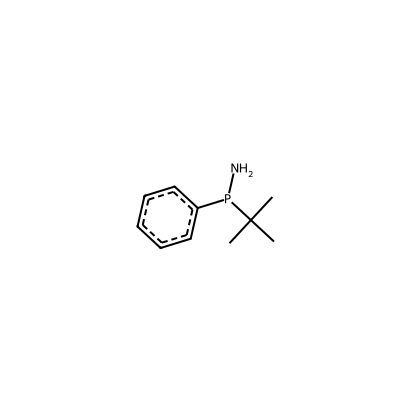 CC(C)(C)P(N)c1ccccc1